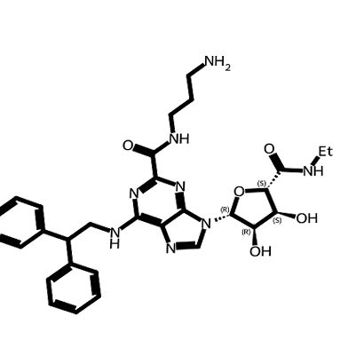 CCNC(=O)[C@H]1O[C@@H](n2cnc3c(NCC(c4ccccc4)c4ccccc4)nc(C(=O)NCCCN)nc32)[C@H](O)[C@@H]1O